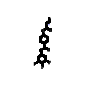 C/C=C/C(=O)Oc1ccc(C(=O)Oc2cc(F)c(F)c(F)c2)cc1